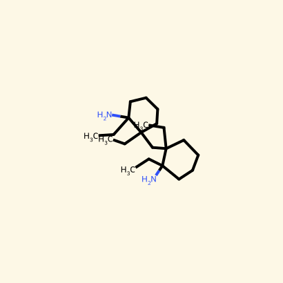 CCC1(N)CCCCC1(CC)CC1(CC)CCCCC1(N)CC